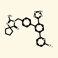 CCCCC1=NC2(CCCC2)C(=O)N1Cc1ccc(-c2cc(-c3cccc(C(F)(F)F)n3)ccc2-c2nn[nH]n2)cc1